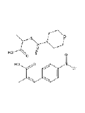 CC(=Cc1ccc([N+](=O)[O-])cc1)C(=O)O.CC(SC(=S)N1CCOCC1)C(=O)O